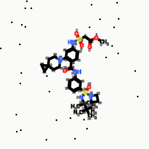 COC(=O)CS(=O)(=O)Nc1ccc(C(=O)Nc2cccc(S(=O)(=N[Si](C)(C)C(C)(C)C)N3CCC3)c2)c(N2CCC3(CC2)CC3)c1